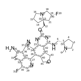 CN1CCC[C@H]1CNc1nc(OC[C@@]23CCCN2C[C@H](F)C3)nc2c(F)c(-c3ncc(F)c4sc(N)c(C#N)c34)c3c(c12)COC3